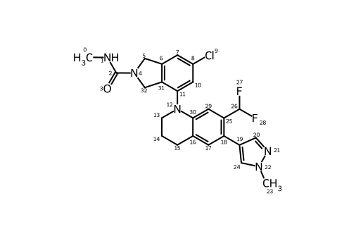 CNC(=O)N1Cc2cc(Cl)cc(N3CCCc4cc(-c5cnn(C)c5)c(C(F)F)cc43)c2C1